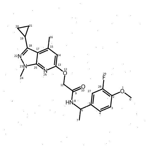 COc1ccc(C(C)NC(=O)COc2cc(C)c3c(C4CC4)nn(C)c3n2)cc1F